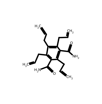 C=CCc1c(CC=C)c(C(N)=O)c(CC=C)c(C(N)=O)c1CC=C